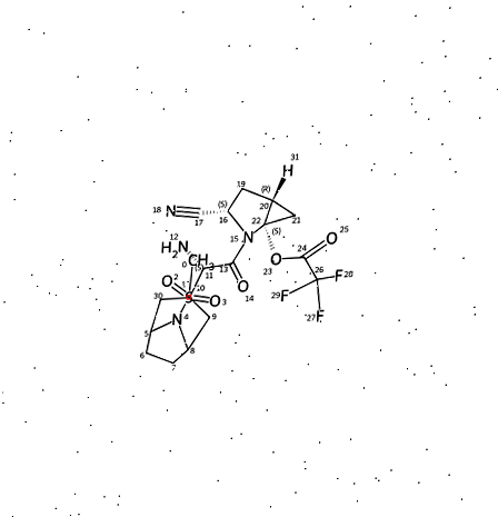 CS(=O)(=O)N1C2CCC1CC([C@H](N)C(=O)N1[C@H](C#N)C[C@@H]3C[C@]31OC(=O)C(F)(F)F)C2